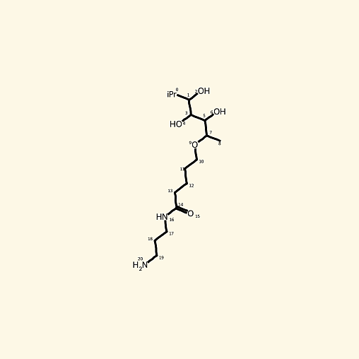 CC(C)C(O)C(O)C(O)C(C)OCCCCC(=O)NCCCN